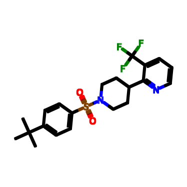 CC(C)(C)c1ccc(S(=O)(=O)N2CCC(c3ncccc3C(F)(F)F)CC2)cc1